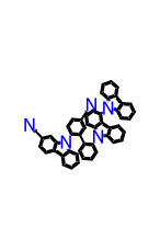 N#Cc1ccc(-n2c3ccccc3c3ccc(C#N)cc32)c(-c2ccccc2-n2c3ccccc3c3c(-n4c5ccccc5c5ccccc54)cccc32)c1